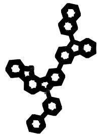 c1ccc(-c2cccc(-n3c4ccc(-c5ccc6c(c5)-c5ccccc5C6c5ccc6ccccc6c5)cc4c4c5oc6ccccc6c5ccc43)c2)cc1